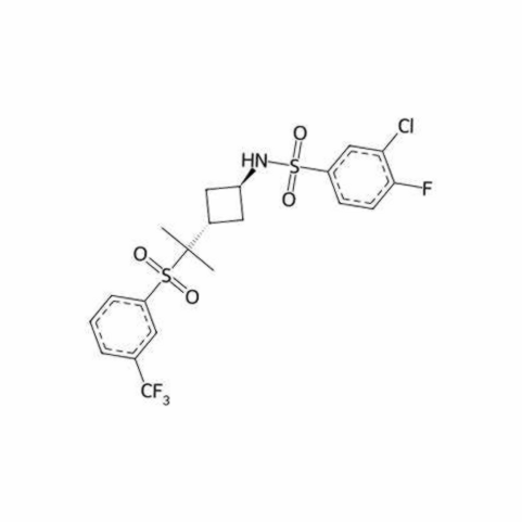 CC(C)([C@H]1C[C@H](NS(=O)(=O)c2ccc(F)c(Cl)c2)C1)S(=O)(=O)c1cccc(C(F)(F)F)c1